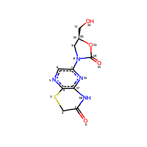 O=C1CSc2ncc(N3C[C@@H](CO)OC3=O)nc2N1